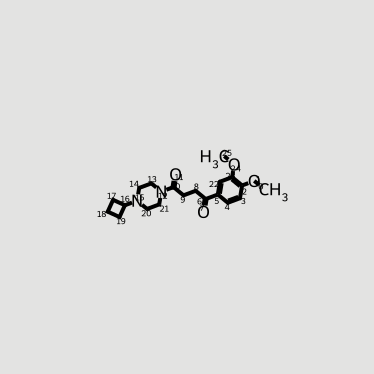 COc1ccc(C(=O)CCC(=O)N2CCN(C3CCC3)CC2)cc1OC